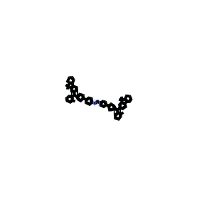 Cc1ccccc1N(c1ccc(-c2ccc(/C=C/c3ccc(-c4ccc(N(c5ccc6c(c5)C(C)(C)C5=C6C=CCC5)c5ccccc5C)cc4)cc3)cc2)cc1)c1ccc2c(c1)C(C)(C)C1=C2C=CCC1